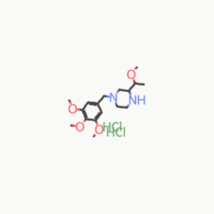 COc1cc(CN2CCNC(C(C)OC)C2)cc(OC)c1OC.Cl.Cl